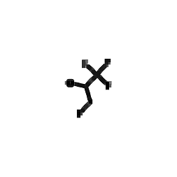 [O]C(CF)C(F)(F)F